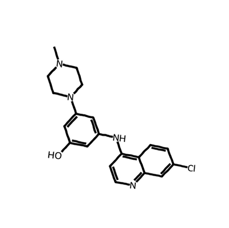 CN1CCN(c2cc(O)cc(Nc3ccnc4cc(Cl)ccc34)c2)CC1